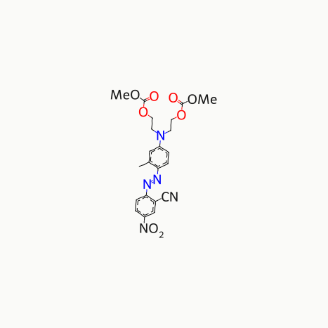 COC(=O)OCCN(CCOC(=O)OC)c1ccc(N=Nc2ccc([N+](=O)[O-])cc2C#N)c(C)c1